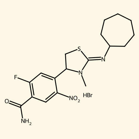 Br.CN1C(=NC2CCCCCC2)SCC1c1cc(F)c(C(N)=O)cc1[N+](=O)[O-]